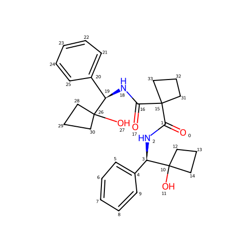 O=C(N[C@H](c1ccccc1)C1(O)CCC1)C1(C(=O)N[C@H](c2ccccc2)C2(O)CCC2)CCC1